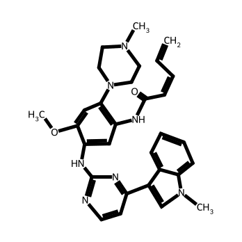 C=C/C=C\C(=O)Nc1cc(Nc2nccc(-c3cn(C)c4ccccc34)n2)c(OC)cc1N1CCN(C)CC1